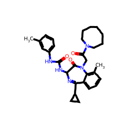 Cc1cccc(NC(=O)NC2N=C(C3CC3)c3cccc(C)c3N(CC(=O)N3CCCCCCC3)C2=O)c1